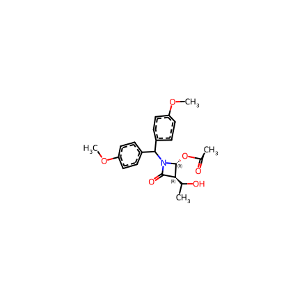 COc1ccc(C(c2ccc(OC)cc2)N2C(=O)[C@H](C(C)O)[C@H]2OC(C)=O)cc1